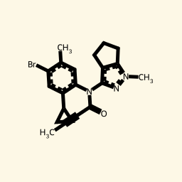 CC#CC(=O)N(c1cc(C)c(Br)cc1C1CC1)c1nn(C)c2c1CCC2